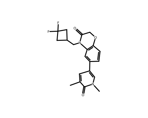 Cc1cc(-c2ccc3c(c2)N(CC2CC(F)(F)C2)C(=O)CO3)cn(C)c1=O